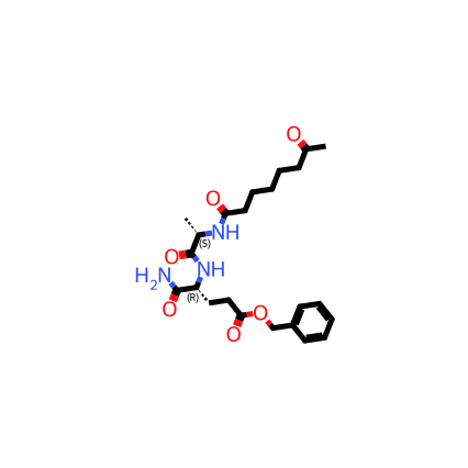 CC(=O)CCCCCC(=O)N[C@@H](C)C(=O)N[C@H](CCC(=O)OCc1ccccc1)C(N)=O